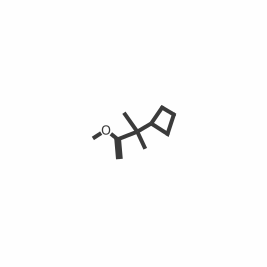 C=C(OC)C(C)(C)C1CCC1